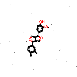 COc1cc([C@@H]2OCC3C2CO[C@@H]3c2ccc(C)c(C)c2)ccc1O